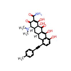 Cc1ccc(C#Cc2ccc(O)c3c2C[C@H]2C[C@H]4[C@H](N(C)C)C(=O)C(C(N)=O)=C(O)[C@@]4(O)C(=O)C2=C3O)cc1